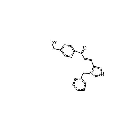 CC(C)Cc1ccc(C(=O)C=Cc2cncn2Cc2ccccc2)cc1